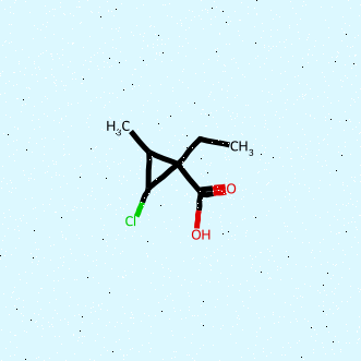 CCC1(C(=O)O)C(C)C1Cl